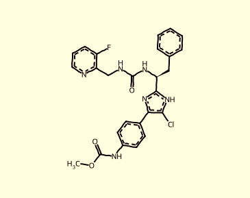 COC(=O)Nc1ccc(-c2nc([C@H](Cc3ccccc3)NC(=O)NCc3ncccc3F)[nH]c2Cl)cc1